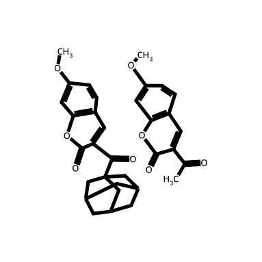 COc1ccc2cc(C(=O)C34CC5CC(CC(C5)C3)C4)c(=O)oc2c1.COc1ccc2cc(C(C)=O)c(=O)oc2c1